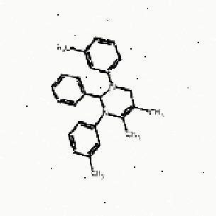 CC1=C(C)N(c2cccc(C)c2)C(c2ccccc2)N(c2cccc(C)c2)C1